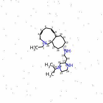 CCN1C/C=C\CC=CC2CCC[C@H](NCCC3CN(C(C)C)CCN3)CCC2C1